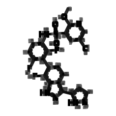 COc1ncc(Cl)cc1S(=O)(=O)Nc1ccc(F)c(-c2ccc3c(-c4ccn[nH]4)n[nH]c3c2F)c1F